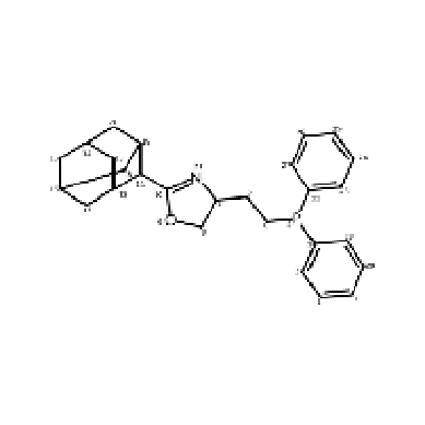 c1ccc(P(CCC2COC(C3C4CC5CC(C4)CC3C5)=N2)c2ccccc2)cc1